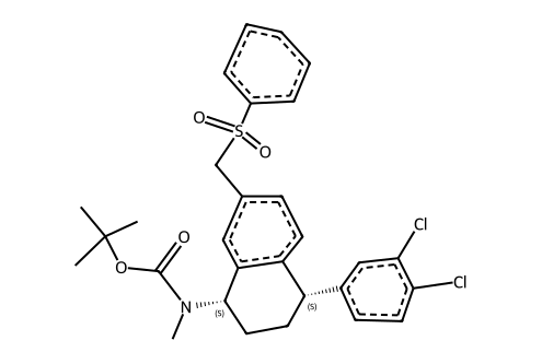 CN(C(=O)OC(C)(C)C)[C@H]1CC[C@@H](c2ccc(Cl)c(Cl)c2)c2ccc(CS(=O)(=O)c3ccccc3)cc21